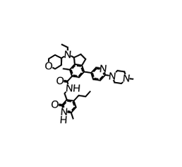 CCCc1cc(C)[nH]c(=O)c1CNC(=O)c1cc(-c2ccc(N3CCN(C)CC3)nc2)c2c(c1C)C(N(CC)C1CCOCC1)CC2